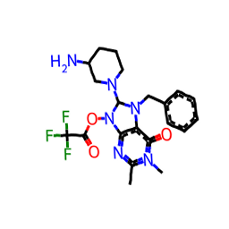 Cc1nc2c(c(=O)n1C)N(Cc1ccccc1)C(N1CCCC(N)C1)N2OC(=O)C(F)(F)F